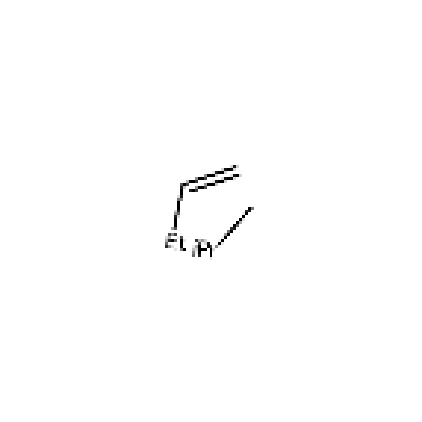 C=CCC.CC(C)C